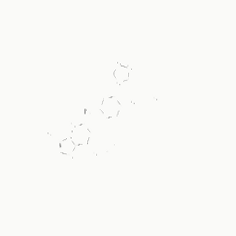 Nc1cnc2c(NC3CC3)cc(Nc3ccc(N4CCN(CCO)CC4)c(-n4cnnc4)c3)nn12